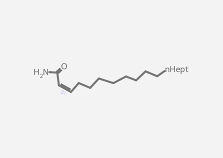 CCCCCCCCCCCCCCC/C=C\C(N)=O